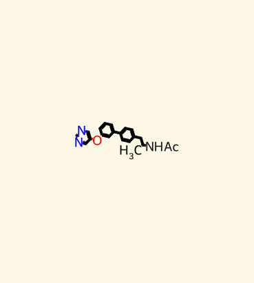 CC(=O)NC(C)Cc1ccc(-c2cccc(Oc3cncnc3)c2)cc1